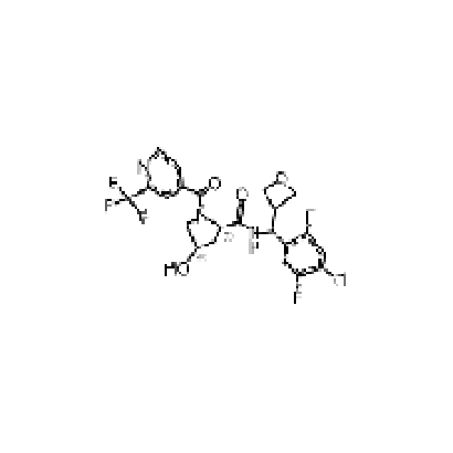 O=C(NC(c1cc(F)c(Cl)cc1F)C1COC1)[C@H]1C[C@@H](O)CN1C(=O)c1ccnc(C(F)(F)F)c1